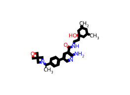 C=C1CC(C)CC(O)(CCNC(=O)c2cc(-c3ccc([C@@H](C)N4CC5(COC5)C4)cc3)cnc2N)C1